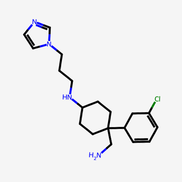 NCC1(C2C=CC=C(Cl)C2)CCC(NCCCn2ccnc2)CC1